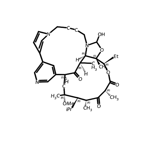 CC[C@H]1OC(=O)[C@H](C)C(=O)[C@H](C)[C@@H](C(C)C)[C@](C)(OC)C[C@@H]2C(=O)[C@H](C)[C@H]3N(CCCCn4ccc(c4)-c4cncc2c4)C(O)O[C@]13C